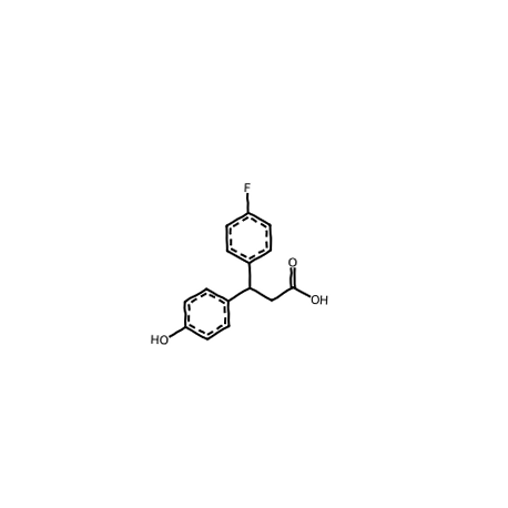 O=C(O)CC(c1ccc(O)cc1)c1ccc(F)cc1